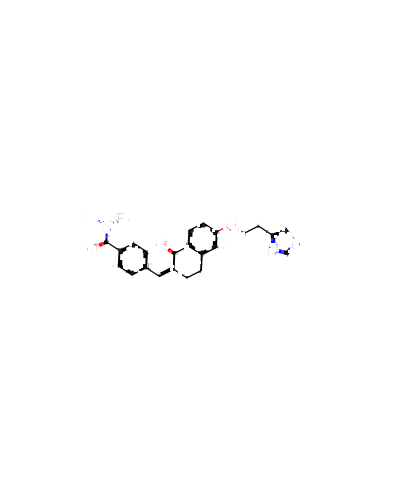 CCN(CC)C(=O)c1ccc(C=C2CCc3cc(OCCc4c[nH]cn4)ccc3C2=O)cc1